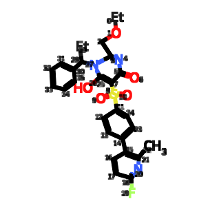 CCOCc1nc(=O)c(S(=O)(=O)c2ccc(-c3ccc(F)nc3C)cc2)c(O)n1C(CC)c1ccccc1